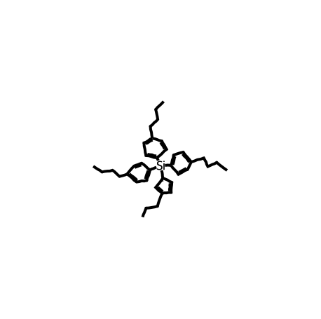 CCCCc1ccc([Si]([C]2C=CC(CCC)=C2)(c2ccc(CCCC)cc2)c2ccc(CCCC)cc2)cc1